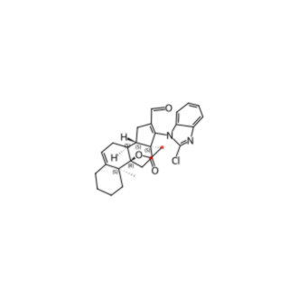 CC(=O)O[C@]12CC[C@]3(C)C(n4c(Cl)nc5ccccc54)=C(C=O)C[C@H]3[C@@H]1CC=C1CCCC[C@@]12C